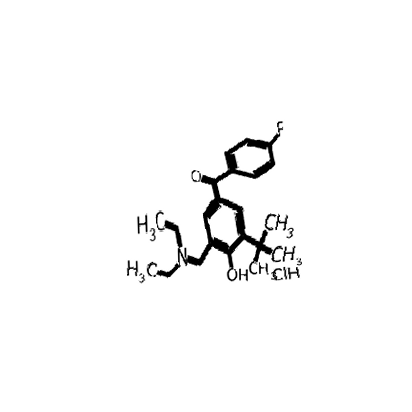 CCN(CC)Cc1cc(C(=O)c2ccc(F)cc2)cc(C(C)(C)C)c1O.Cl